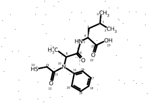 CC(C)C[C@H](NC(=O)C(C)N(C(=O)CS)c1ccccc1)C(=O)O